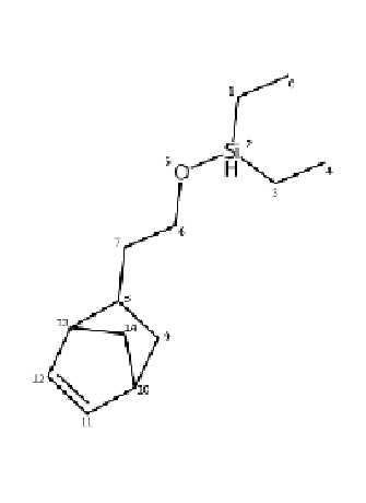 CC[SiH](CC)OCCC1CC2C=CC1C2